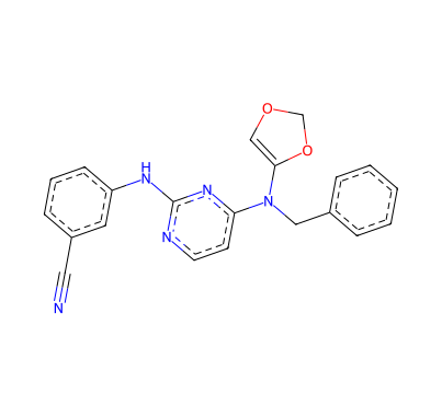 N#Cc1cccc(Nc2nccc(N(Cc3ccccc3)C3=COCO3)n2)c1